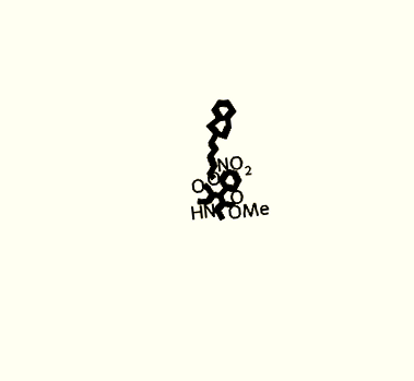 COC(=O)C1=C(C)NC(C)=C(C(=O)OC/C=C/C=C/c2ccc3ccccc3c2)C1c1cccc([N+](=O)[O-])c1